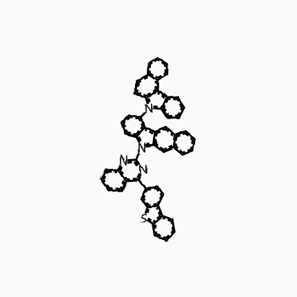 c1ccc2cc3c(cc2c1)c1c(-n2c4ccccc4c4c5ccccc5ccc42)cccc1n3-c1nc(-c2ccc3c(c2)sc2ccccc23)c2ccccc2n1